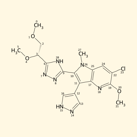 COC[C@@H](OC)c1nnc(-c2c(-c3cn[nH]c3)c3nc(OC)c(Cl)cc3n2C)[nH]1